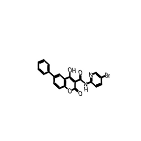 O=C(Nc1ccc(Br)cn1)c1c(O)c2cc(-c3ccccc3)ccc2oc1=O